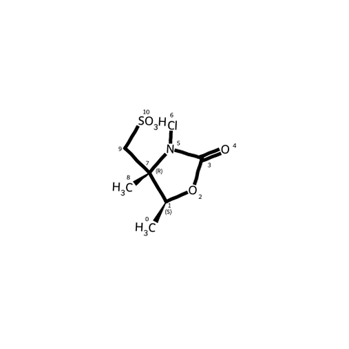 C[C@@H]1OC(=O)N(Cl)[C@@]1(C)CS(=O)(=O)O